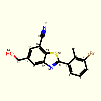 Cc1c(Br)cccc1-c1nc2cc(CO)cc(C#N)c2s1